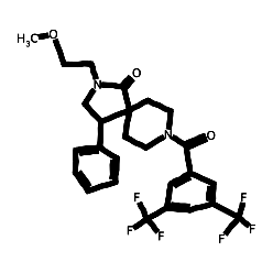 COCCN1CC(c2ccccc2)C2(CCN(C(=O)c3cc(C(F)(F)F)cc(C(F)(F)F)c3)CC2)C1=O